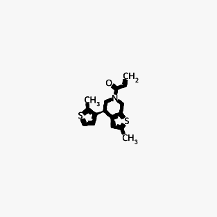 C=CC(=O)N1Cc2sc(C)cc2[C@@H](c2ccsc2C)C1